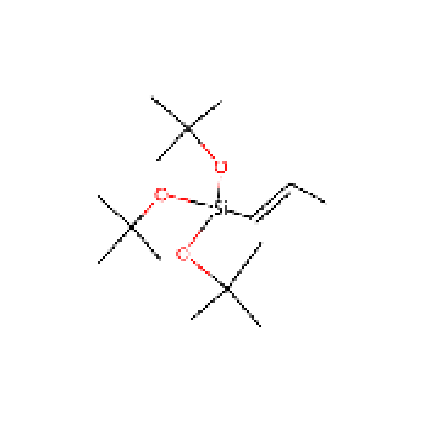 CC=C[Si](OC(C)(C)C)(OC(C)(C)C)OC(C)(C)C